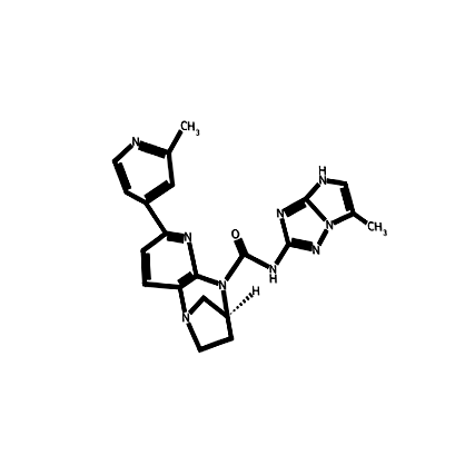 Cc1cc(-c2ccc3c(n2)N(C(=O)Nc2nc4[nH]cc(C)n4n2)[C@H]2CCN3C2)ccn1